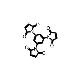 O=C1C=CC(=O)N1c1cc(N2C(=O)C=CC2=O)cc(N2C(=O)C=CC2=O)c1